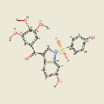 COc1ccc2c(C(=O)c3cc(OC)c(OC)c(OC)c3)cn(S(=O)(=O)c3ccc(Br)cc3)c2c1